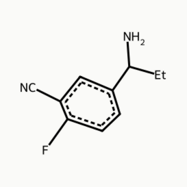 CCC(N)c1ccc(F)c(C#N)c1